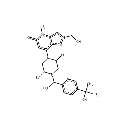 CC[C@H]1CN(C(C)c2ccc(C(C)(C)C#N)cn2)[C@H](CC)CN1c1cc(=O)n(C)c2cn(CC#N)nc12